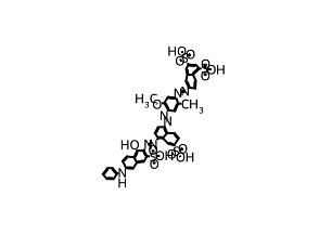 COc1cc(N=Nc2ccc3c(S(=O)(=O)O)cc(S(=O)(=O)O)cc3c2)c(C)cc1N=Nc1ccc(N=Nc2c(S(=O)(=O)O)cc3cc(Nc4ccccc4)ccc3c2O)c2cc(S(=O)(=O)O)ccc12